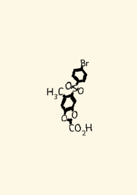 Cc1cc2c(cc1S(=O)(=O)c1ccc(Br)cc1)OC(C(=O)O)O2